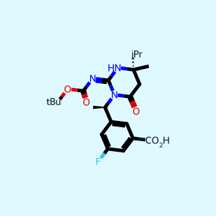 CC(C)[C@]1(C)CC(=O)N([C@H](C)c2cc(F)cc(C(=O)O)c2)/C(=N\C(=O)OC(C)(C)C)N1